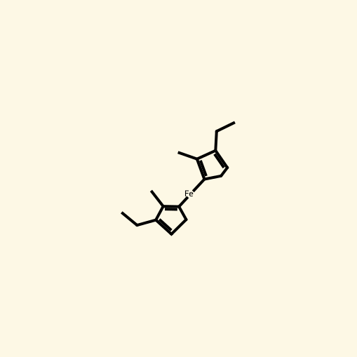 CCC1=CC[C]([Fe][C]2=C(C)C(CC)=CC2)=C1C